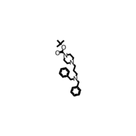 CC(C)(C)OC(=O)N1CCN(CCCN(Cc2ccccc2)Cc2ccccc2)CC1